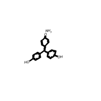 N.O=C1C=CC(=C(c2ccc(O)cc2)c2ccc(O)cc2)C=C1